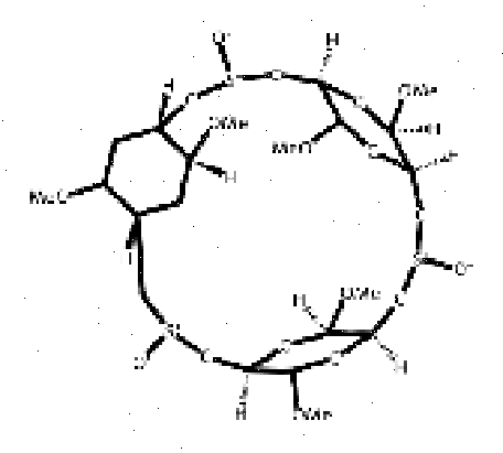 COC1C[C@@H]2C[S+]([O-])C[C@H]3C[C@@H](OC)[C@H](CC3OC)C[S+]([O-])C[C@H]3CC(OC)[C@H](C[C@H]3OC)C[S+]([O-])C[C@H]1C[C@H]2OC